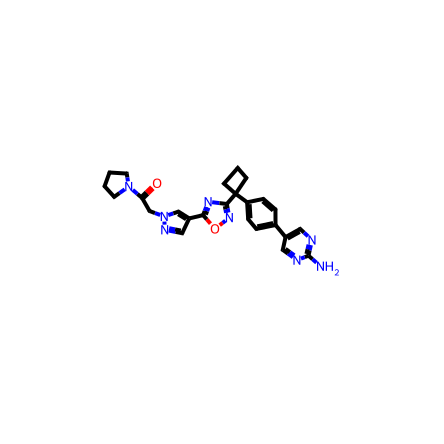 Nc1ncc(-c2ccc(C3(c4noc(-c5cnn(CC(=O)N6CCCC6)c5)n4)CCC3)cc2)cn1